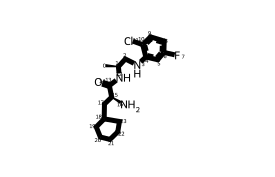 C[C@@H](CNc1cc(F)ccc1Cl)NC(=O)[C@@H](N)CC1CCCCC1